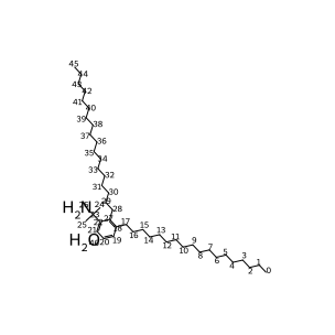 CCCCCCCCCCCCCCCCCCc1cccc(C(C)(C)N)c1CCCCCCCCCCCCCCCCCC.O